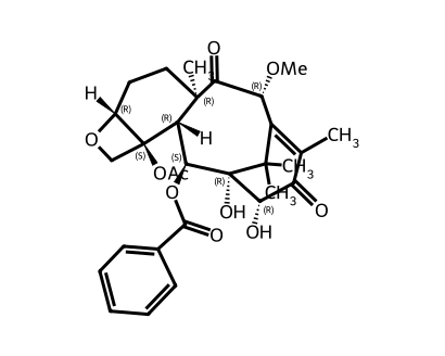 CO[C@H]1C(=O)[C@]2(C)CC[C@H]3OC[C@@]3(OC(C)=O)[C@H]2[C@H](OC(=O)c2ccccc2)[C@]2(O)[C@@H](O)C(=O)C(C)=C1C2(C)C